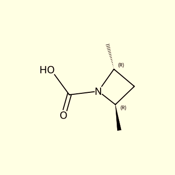 C[C@@H]1C[C@@H](C)N1C(=O)O